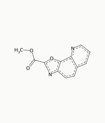 COC(=O)c1nc2ccc3cccnc3c2o1